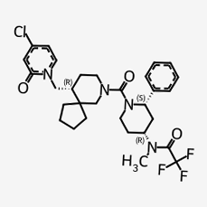 CN(C(=O)C(F)(F)F)[C@@H]1CCN(C(=O)N2CC[C@@H](Cn3ccc(Cl)cc3=O)C3(CCCC3)C2)[C@H](c2ccccc2)C1